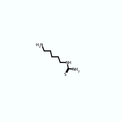 NCCCCCNC(N)=S